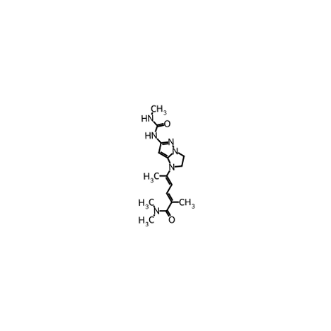 CNC(=O)Nc1cc2n(n1)CCN2/C(C)=C/C=C(\C)C(=O)N(C)C